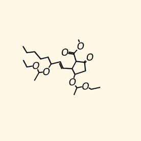 CCCCCC(C=CC1C(OC(C)OCC)CC(=O)C1C(=O)OC)OC(C)OCC